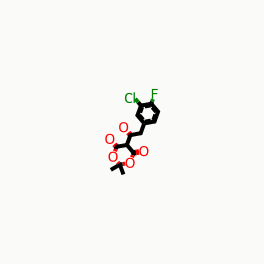 CC1(C)OC(=O)C(C(=O)Cc2ccc(F)c(Cl)c2)C(=O)O1